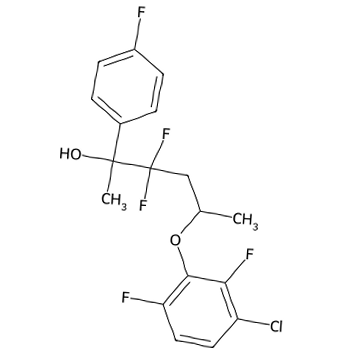 CC(CC(F)(F)C(C)(O)c1ccc(F)cc1)Oc1c(F)ccc(Cl)c1F